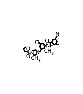 Cc1c(CN2CCN(C(=O)[C@@H]3CCCO3)[C@@H](C)C2)cc(Cl)cc1NC(=O)c1cc(F)cc(C#N)c1